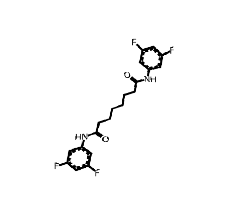 O=C(CCCCCCC(=O)Nc1cc(F)cc(F)c1)Nc1cc(F)cc(F)c1